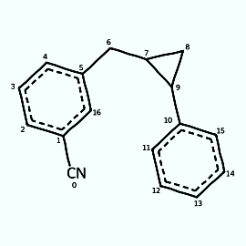 N#Cc1cccc(CC2CC2c2ccccc2)c1